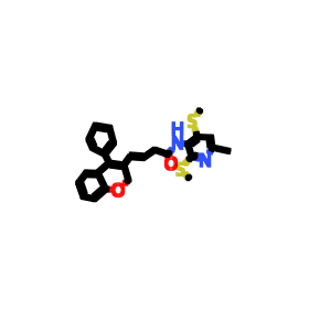 CSc1cc(C)nc(SC)c1NC(=O)CC=CC1=C(c2ccccc2)c2ccccc2OC1